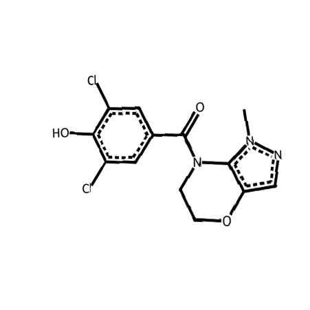 Cn1ncc2c1N(C(=O)c1cc(Cl)c(O)c(Cl)c1)CCO2